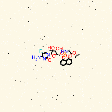 CC(C)OC(=O)[C@@H](C)N[P@@](=O)(OC[C@H]1O[C@@H](n2cc(F)c(N)nc2=O)[C@](C)(O)[C@@H]1O)Oc1cccc2ccccc12